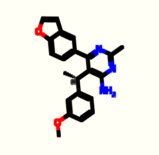 COc1cccc([C@H](C)c2c(N)nc(C)nc2-c2ccc3occc3c2)c1